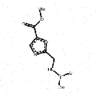 CC(C)(C)OC(=O)c1cnc(CN[S@@+]([O-])C(C)(C)C)s1